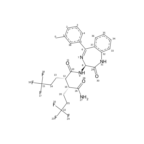 Cc1cccc(C2=N[C@H](NC(=O)[C@@H](CCC(F)(F)F)[C@@H](CCC(F)(F)F)C(N)=O)C(=O)Nc3ccccc32)c1